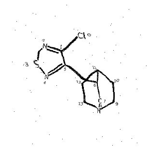 Clc1nsnc1C1CN2CCC1CC2